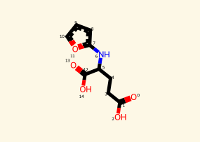 O=C(O)CCC(Nc1ccco1)C(=O)O